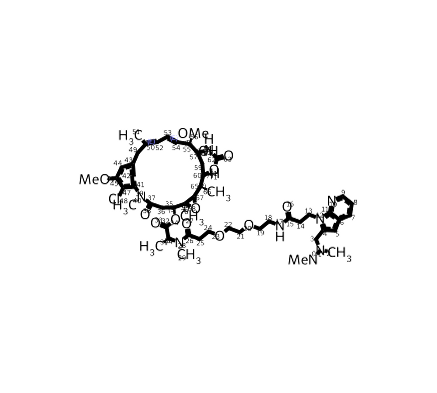 CNN(C)Cc1cc2cccnc2n1CCC(=O)NCCOCCOCCC(=O)N(C)[C@@H](C)C(=O)O[C@H]1CC(=O)N(C)c2cc(cc(OC)c2Cl)C/C(C)=C/C=C/[C@@H](OC)[C@@]2(O)C[C@H](OC(=O)N2)[C@@H](C)C2O[C@]21C